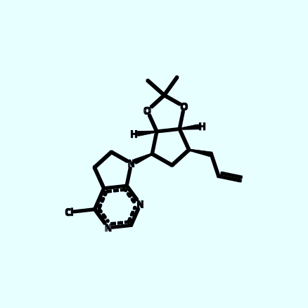 C=CC[C@H]1C[C@@H](N2CCc3c(Cl)ncnc32)[C@@H]2OC(C)(C)O[C@H]12